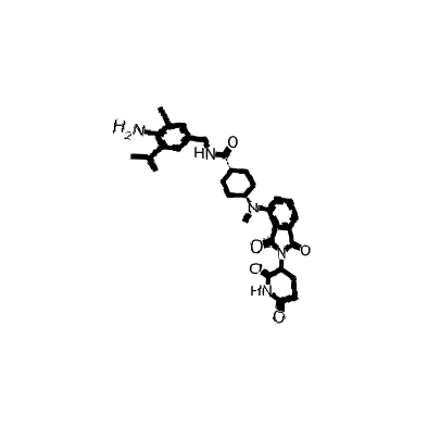 Cc1cc(CNC(=O)[C@H]2CC[C@H](N(C)c3cccc4c3C(=O)N(C3CCC(=O)NC3=O)C4=O)CC2)cc(C(C)C)c1N